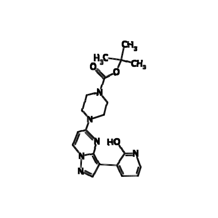 CC(C)(C)OC(=O)N1CCN(c2ccn3ncc(-c4cccnc4O)c3n2)CC1